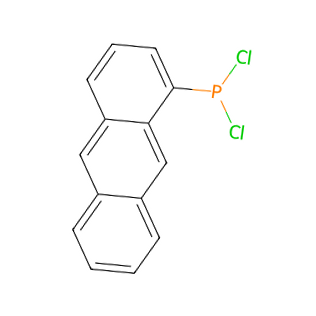 ClP(Cl)c1cccc2cc3ccccc3cc12